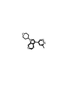 Cc1cc(-c2cn(C3CCOCC3)c3cnccc23)cnn1